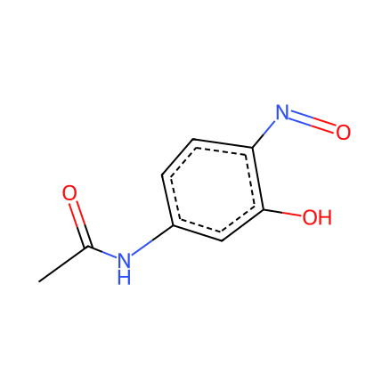 CC(=O)Nc1ccc(N=O)c(O)c1